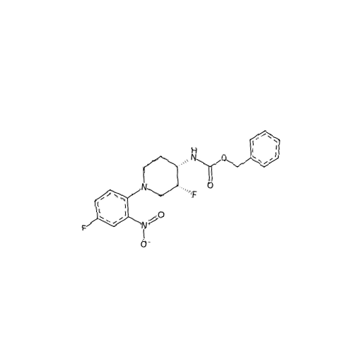 O=C(N[C@H]1CCN(c2ccc(F)cc2[N+](=O)[O-])C[C@H]1F)OCc1ccccc1